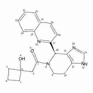 O=C(CC1(O)CCC1)N1CCc2[nH]cnc2[C@@H]1c1ccc2ccccc2n1